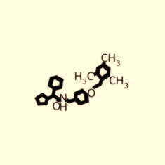 Cc1cc(C)c(CCOc2ccc(CNC(=O)C(c3ccccc3)C3CCCC3)cc2)c(C)c1